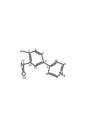 Cc1ccc(-c2ccncc2)cc1N=O